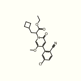 CCOC(=O)C(CC1CCC1)n1cc(OC)c(-c2cc(Cl)ccc2C#N)cc1=O